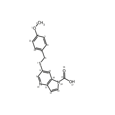 COc1ccc(CSc2cnc3ccn(C(=O)O)c3c2)cc1